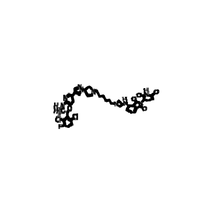 C[C@H](Oc1cc(-c2cnn(C3CCN(CCCCCCN4CC(Nc5cccc6c5C(=O)N(C5CCC(=O)NC5=O)C6=O)C4)CC3)c2)cnc1N)c1c(Cl)ccc(F)c1Cl